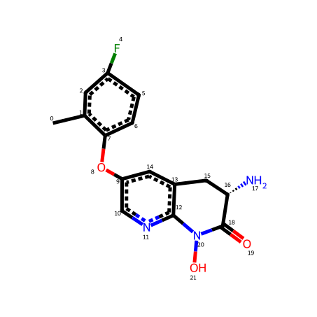 Cc1cc(F)ccc1Oc1cnc2c(c1)C[C@H](N)C(=O)N2O